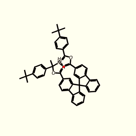 CC(C)(C)c1ccc(-c2nnc(-c3ccc4c(c3)C3(c5ccccc5-c5ccc(C6=NNC(C)(c7ccc(C(C)(C)C)cc7)O6)cc53)c3ccccc3-4)o2)cc1